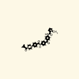 Cn1cccc1C(=O)Nc1ccc(C(=O)c2ccc(NC(=O)c3ccc(N4CCN(C(=O)C5CC5)CC4)cc3)cc2)cc1